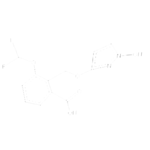 O=C(O)c1cccc(OC(F)F)c1COc1ccn(O)n1